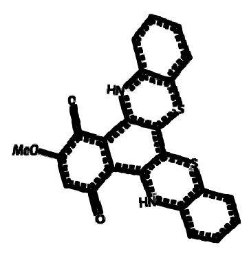 COc1cc(=O)c2c3[nH]c4ccccc4sc3c3sc4ccccc4[nH]c3c2c1=O